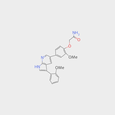 COc1cc(-c2cnc3[nH]cc(-c4ccccc4OC)c3c2)ccc1OCC(N)=O